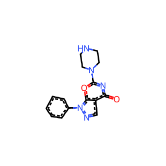 O=c1nc(N2CCNCC2)oc2c1cnn2-c1ccccc1